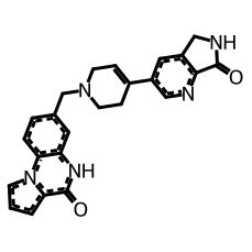 O=C1NCc2cc(C3=CCN(Cc4ccc5c(c4)[nH]c(=O)c4cccn45)CC3)cnc21